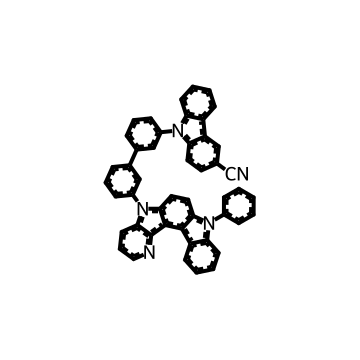 N#Cc1ccc2c(c1)c1ccccc1n2-c1cccc(-c2cccc(-n3c4cccnc4c4c5c6ccccc6n(-c6ccccc6)c5ccc43)c2)c1